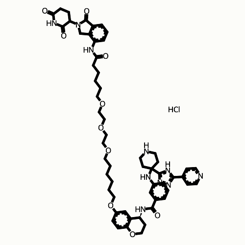 Cl.O=C1CCC(N2Cc3c(NC(=O)CCCCCOCCOCCOCCCCCCOc4ccc5c(c4)[C@H](NC(=O)c4cccc(NC6(c7nnc(-c8ccncc8)[nH]7)CCNCC6)c4)CCO5)cccc3C2=O)C(=O)N1